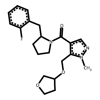 Cn1ncc(C(=O)N2CCCC2Cc2ccccc2F)c1COC1CCOC1